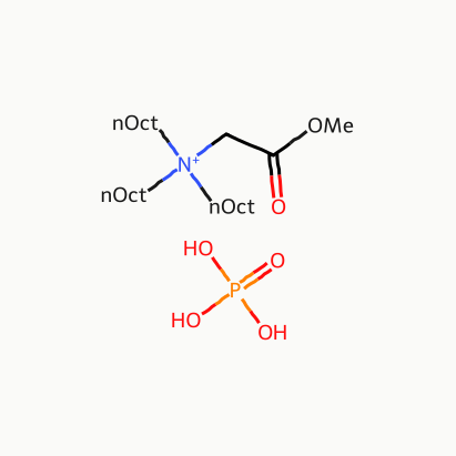 CCCCCCCC[N+](CCCCCCCC)(CCCCCCCC)CC(=O)OC.O=P(O)(O)O